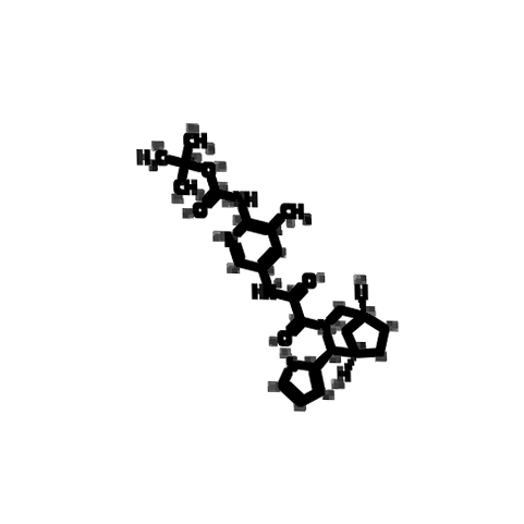 Cc1cc(NC(=O)C(=O)N2C[C@H]3CC[C@H](C3)[C@H]2c2cccs2)cnc1NC(=O)OC(C)(C)C